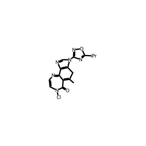 CC1=C2C(=O)N(Cl)C=CN=C2c2ncn(-c3noc(C(C)C)n3)c2C1